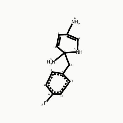 NC1=CNC(N)(Cc2ccc(F)cc2)C=C1